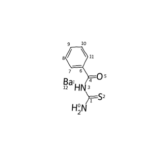 NC(=S)NC(=O)c1ccccc1.[Ba]